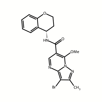 COc1c(C(=O)N[C@H]2CCOc3ccccc32)cnc2c(Br)c(C)nn12